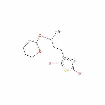 CCCC(CCc1cc(Br)sc1Br)OC1CCCCO1